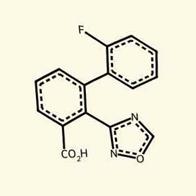 O=C(O)c1cccc(-c2ccccc2F)c1-c1ncon1